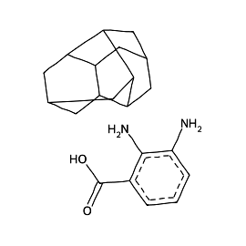 C1C2CC3C4CC5CC(C14)C(C2)C3C5.Nc1cccc(C(=O)O)c1N